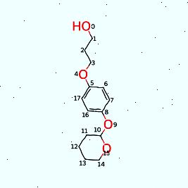 OCCCOc1ccc(OC2CCCCO2)cc1